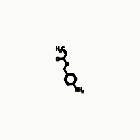 C=CC(=O)OCc1ccc(N)cc1